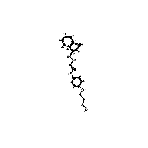 BrCCCOc1ccc(SNCCCc2c[nH]c3ccccc23)cc1